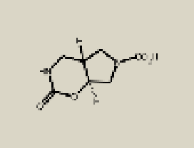 O=C1NC[C@@H]2CN(C(=O)O)C[C@H]2O1